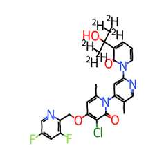 [2H]C([2H])([2H])C(O)(c1cccn(-c2cc(-n3c(C)cc(OCc4ncc(F)cc4F)c(Cl)c3=O)c(C)cn2)c1=O)C([2H])([2H])[2H]